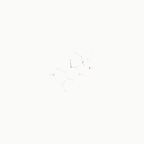 CC(C)c1oc(=O)cc2c1[C@@H](O)C1OC(=O)[C@]3(C)C1[C@]2(C)CC[C@@H]3O